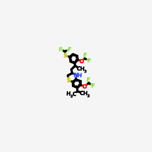 CC(C)c1cc2c(cc1OC(F)F)NC(CC(C)c1cc(SC(F)F)ccc1OC(F)F)CS2